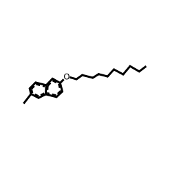 CCCCCCCCCCOc1ccc2cc(C)ccc2c1